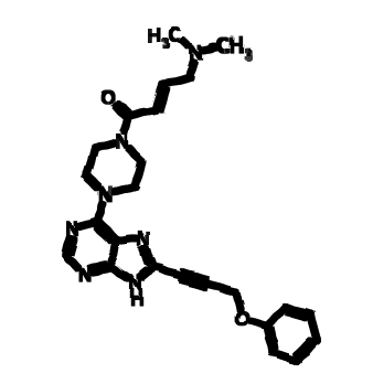 CN(C)CC=CC(=O)N1CCN(c2ncnc3[nH]c(C#CCOc4ccccc4)nc23)CC1